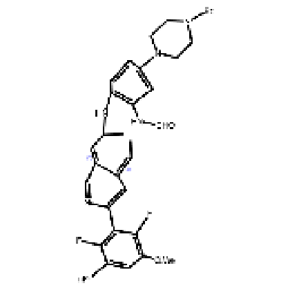 C/C=c1/cc(-c2c(F)c(CCC)cc(OC)c2F)nc/c1=C/C(C)Nc1ccc(N2CCN(CC)CC2)cc1NC=O